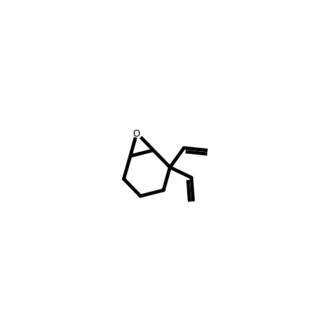 C=CC1(C=C)CCCC2OC21